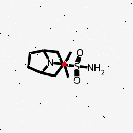 CC(C)N1C2CCC1CC(S(N)(=O)=O)C2